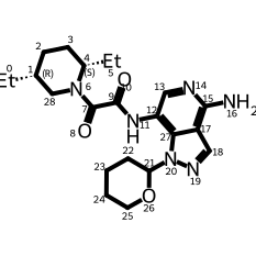 CC[C@@H]1CC[C@H](CC)N(C(=O)C(=O)Nc2cnc(N)c3cnn(C4CCCCO4)c23)C1